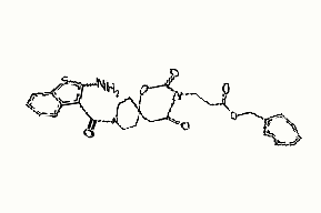 Nc1sc2ccccc2c1C(=O)N1CCC2(CC1)CC(=O)N(CCC(=O)OCc1ccccc1)C(=O)O2